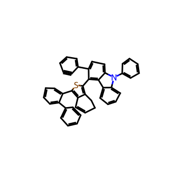 c1cccc(-c2ccc3c(c2-c2sc(-c4ccccc4-c4ccccc4)c4c2CCC=C4)c2ccccc2n3-c2ccccc2)c#1